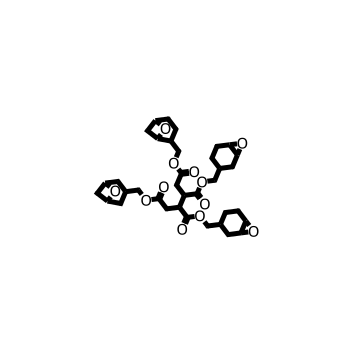 O=C(CC(C(=O)OCC1CCC2OC2C1)C(CC(=O)OCC1CCC2CC1O2)C(=O)OCC1CCC2OC2C1)OCC1CC2CC(C1)O2